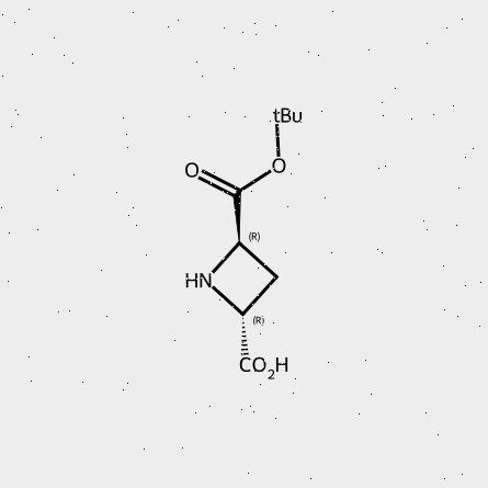 CC(C)(C)OC(=O)[C@H]1C[C@H](C(=O)O)N1